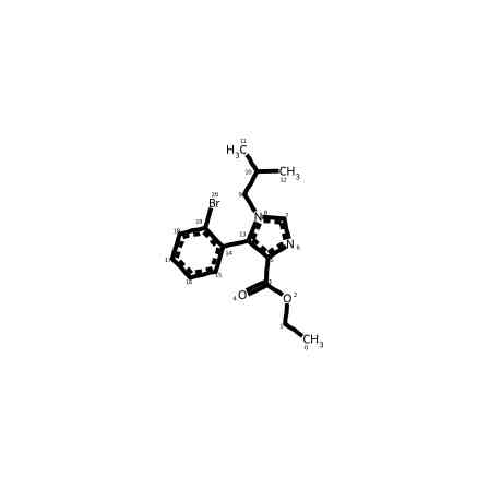 CCOC(=O)c1ncn(CC(C)C)c1-c1ccccc1Br